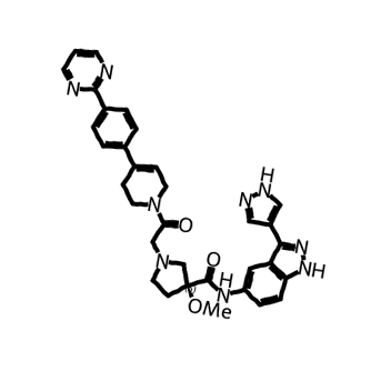 CO[C@@]1(C(=O)Nc2ccc3[nH]nc(-c4cn[nH]c4)c3c2)CCN(CC(=O)N2CC=C(c3ccc(-c4ncccn4)cc3)CC2)C1